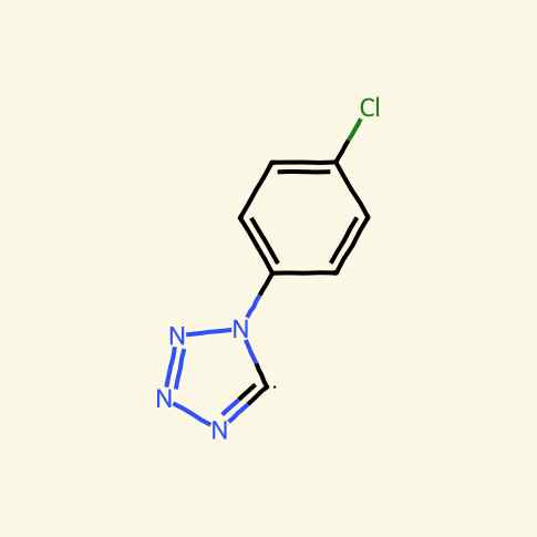 Clc1ccc(-n2[c]nnn2)cc1